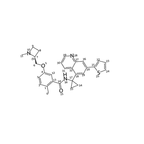 Cc1ccc(OC[C@@H]2CCN2C)cc1C(=O)NC1(c2cc(-c3cccs3)cc3ncccc23)CC1